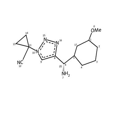 COC1CCCC([C@H](N)c2cn(C3(C#N)CC3)nn2)C1